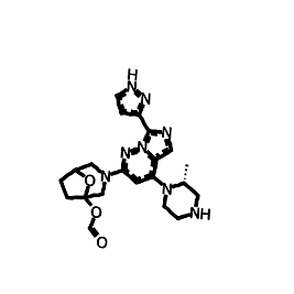 C[C@@H]1CNCCN1c1cc(N2CC3CCC(OC=O)(C2)O3)nn2c(-c3cc[nH]n3)ncc12